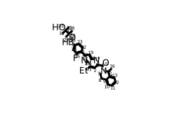 CCc1cc(C(=O)N2CCc3ccccc3C2C)nc2cc(-c3ccc(BOC(C)(C)C(C)(C)O)cc3F)nn12